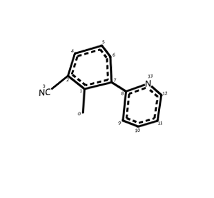 Cc1c(C#N)cccc1-c1ccccn1